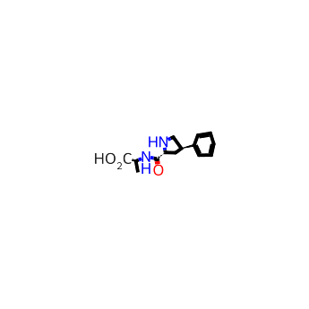 C[C@H](NC(=O)[C@H]1C[C@H](c2ccccc2)CN1)C(=O)O